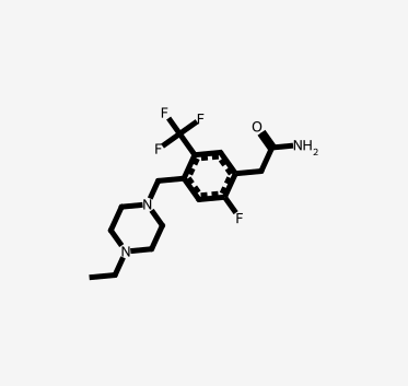 CCN1CCN(Cc2cc(F)c(CC(N)=O)cc2C(F)(F)F)CC1